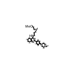 COCCN(C)CCCNc1nc(-c2ccc(N3CCN(C)CC3)cc2)nc2c1CCCC2